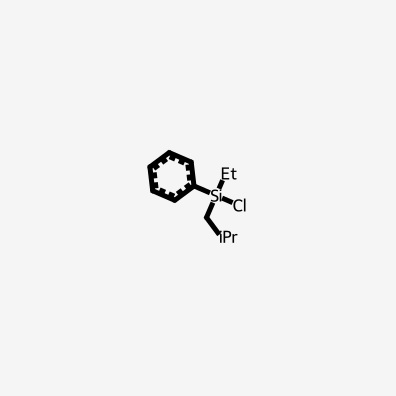 CC[Si](Cl)(CC(C)C)c1ccccc1